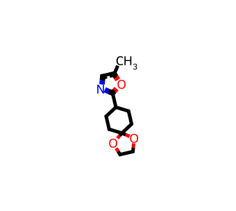 Cc1cnc(C2CCC3(CC2)OCCO3)o1